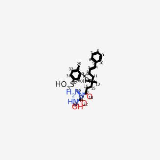 CC(C)C[C@H](C=Cc1ccccc1)CC(C)(C)CCC(=O)N(N)C(=O)NO.Cc1ccc(S(=O)(=O)O)cc1